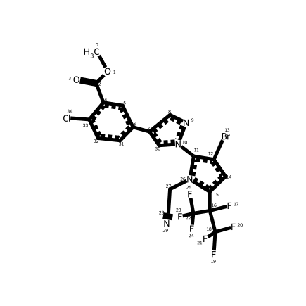 COC(=O)c1cc(-c2cnn(-c3c(Br)cc(C(F)(C(F)(F)F)C(F)(F)F)n3CC#N)c2)ccc1Cl